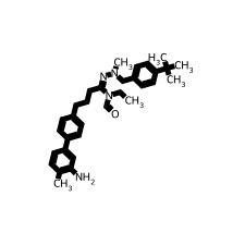 CCN(C=O)/C(CCCc1ccc(-c2ccc(C)c(N)c2)cc1)=N\N(C)Cc1ccc(C(C)(C)C)cc1